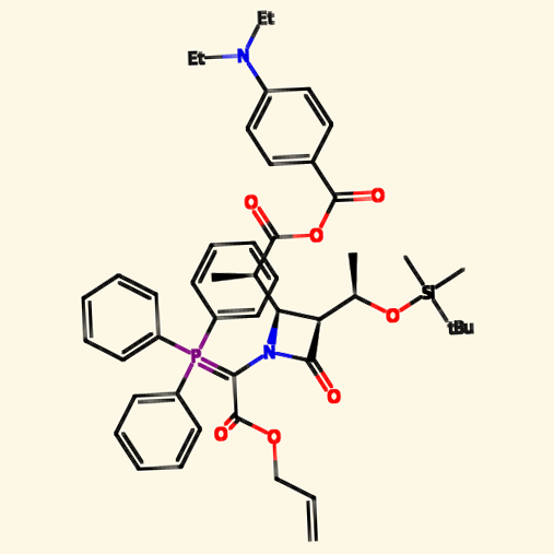 C=CCOC(=O)C(N1C(=O)[C@H]([C@@H](C)O[Si](C)(C)C(C)(C)C)[C@@H]1[C@@H](C)C(=O)OC(=O)c1ccc(N(CC)CC)cc1)=P(c1ccccc1)(c1ccccc1)c1ccccc1